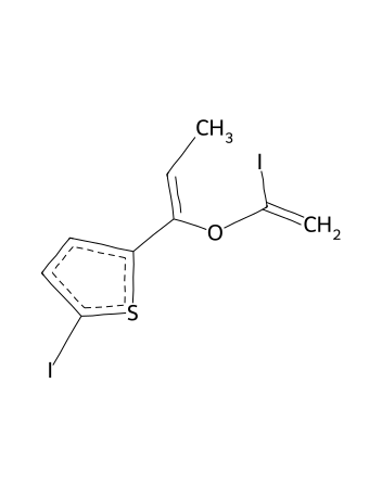 C=C(I)O/C(=C\C)c1ccc(I)s1